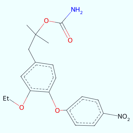 CCOc1cc(CC(C)(C)OC(N)=O)ccc1Oc1ccc([N+](=O)[O-])cc1